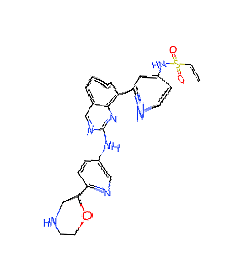 C=CS(=O)(=O)Nc1ccnc(-c2cccc3cnc(Nc4ccc(C5CNCCO5)nc4)nc23)c1